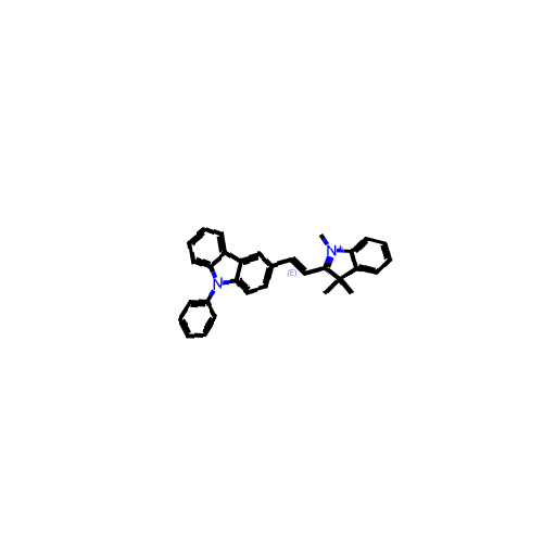 C[N+]1=C(/C=C/c2ccc3c(c2)c2ccccc2n3-c2ccccc2)C(C)(C)c2ccccc21